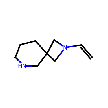 C=CN1CC2(CCCNC2)C1